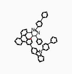 CCC1C(c2cccc3c4ccccc4c4cc(-c5ccc6c7ccccc7n(-c7ccc(-c8ccccc8)cc7)c6c5)ccc4c23)=NC(c2ccc(-c3ccccc3)cc2)=NC1c1ccccc1